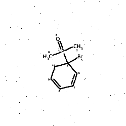 CP(C)(=O)C1(Br)C=CC=CC1